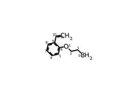 BCCOc1ccccc1C=C